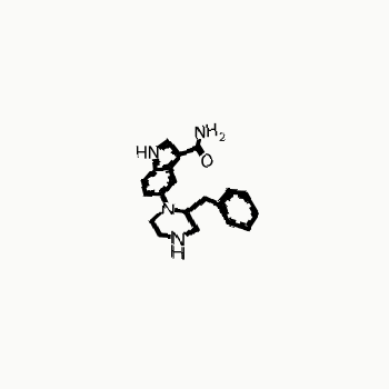 NC(=O)c1c[nH]c2ccc(N3CCNCC3Cc3ccccc3)cc12